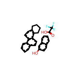 O=C(O)C(F)(F)F.Oc1ccc2ccccc2c1.c1ccc2c(c1)ccc1c3c(ccc12)CCCC3